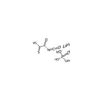 O=C=NC(=O)C(=S)S.O=P(O)(O)O.[LiH]